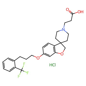 Cl.O=C(O)CCN1CCC2(CC1)COc1cc(OCCCc3ccccc3C(F)(F)F)ccc12